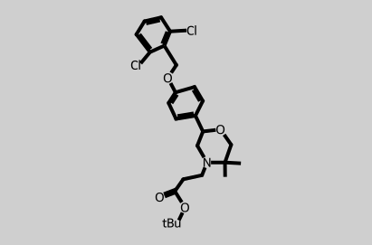 CC(C)(C)OC(=O)CCN1CC(c2ccc(OCc3c(Cl)cccc3Cl)cc2)OCC1(C)C